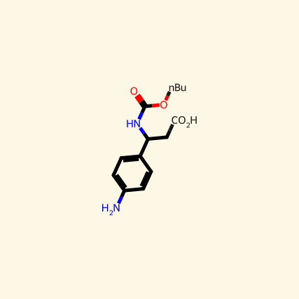 CCCCOC(=O)NC(CC(=O)O)c1ccc(N)cc1